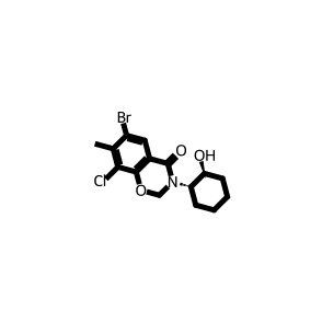 Cc1c(Br)cc2c(c1Cl)OCN([C@H]1CCCC[C@@H]1O)C2=O